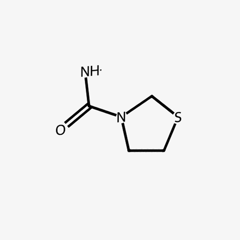 [NH]C(=O)N1CCSC1